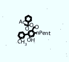 CCCCCc1cc(O)c(-c2cccc(C)c2)c2c1C(=O)OC(CC(C)=O)(c1ccccc1)O2